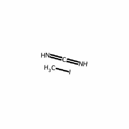 CI.N=C=N